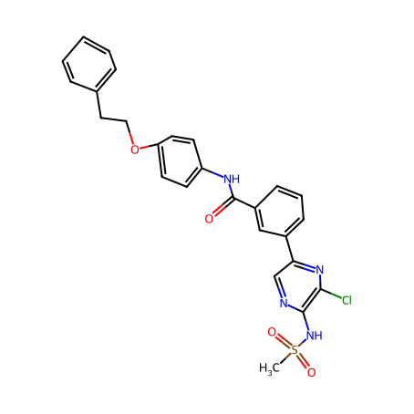 CS(=O)(=O)Nc1ncc(-c2cccc(C(=O)Nc3ccc(OCCc4ccccc4)cc3)c2)nc1Cl